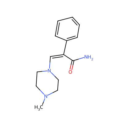 CN1CCN(C=C(C(N)=O)c2ccccc2)CC1